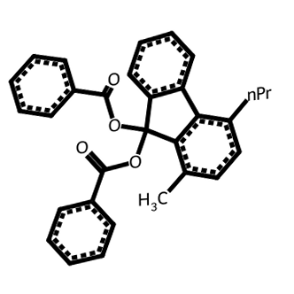 CCCc1ccc(C)c2c1-c1ccccc1C2(OC(=O)c1ccccc1)OC(=O)c1ccccc1